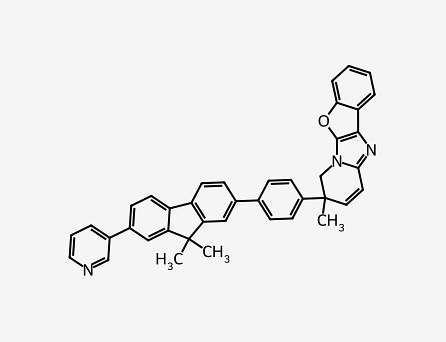 CC1(c2ccc(-c3ccc4c(c3)C(C)(C)c3cc(-c5cccnc5)ccc3-4)cc2)C=Cc2nc3c4ccccc4oc3n2C1